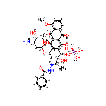 COc1cccc2c1C(=O)c1c(O)c3c(c(O)c1C2=O)C[C@@](O)(C(C)=NNC(=O)c1ccccc1)C[C@@H]3O[C@H]1C[C@H](N)[C@H](O)[C@H](C)O1.O=P(O)(O)O